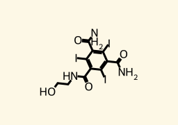 NC(=O)c1c(I)c(C(N)=O)c(I)c(C(=O)NCCO)c1I